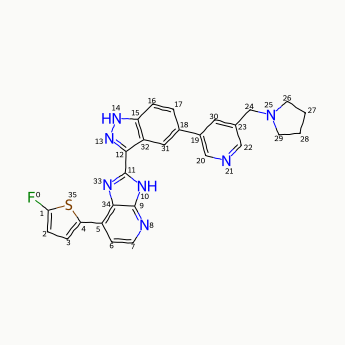 Fc1ccc(-c2ccnc3[nH]c(-c4n[nH]c5ccc(-c6cncc(CN7CCCC7)c6)cc45)nc23)s1